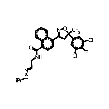 CC(C)ON=CCNC(=O)c1ccc(C2=NOC(c3cc(Cl)c(F)c(Cl)c3)(C(F)(F)F)C2)c2ccccc12